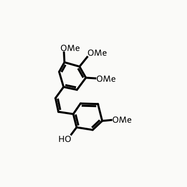 COc1ccc(/C=C\c2cc(OC)c(OC)c(OC)c2)c(O)c1